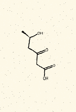 C[C@@H](O)CC(=O)CC(=O)O